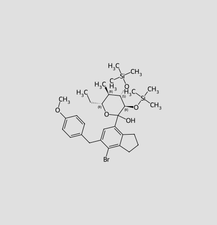 CC[C@H]1OC(O)(c2cc(Cc3ccc(OC)cc3)c(Br)c3c2CCC3)[C@H](O[Si](C)(C)C)[C@@H](O[Si](C)(C)C)[C@@H]1C